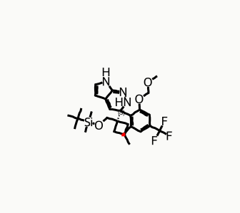 COCOc1cc(C(F)(F)F)cc(C)c1[C@@]1(C2(CO[Si](C)(C)C(C)(C)C)CC(C)C2)C=c2cc[nH]c2=NN1